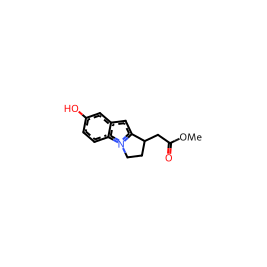 COC(=O)CC1CCn2c1cc1cc(O)ccc12